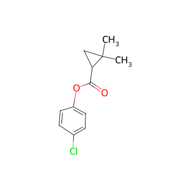 CC1(C)CC1C(=O)Oc1ccc(Cl)cc1